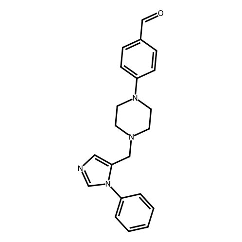 O=Cc1ccc(N2CCN(Cc3cncn3-c3ccccc3)CC2)cc1